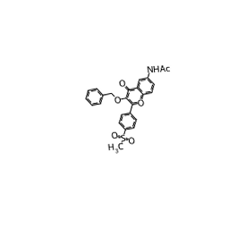 CC(=O)Nc1ccc2oc(-c3ccc(S(C)(=O)=O)cc3)c(OCc3ccccc3)c(=O)c2c1